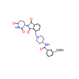 COc1cccc(C(=O)NC2CCN(Cc3cccc4c3C(=O)N(C3CCC(=O)NC3=O)C4=O)CC2)c1